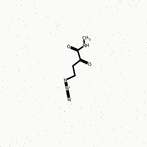 CNC(=O)C(=O)CCN=[N+]=[N-]